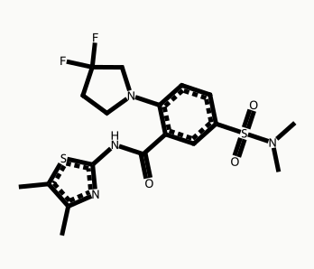 Cc1nc(NC(=O)c2cc(S(=O)(=O)N(C)C)ccc2N2CCC(F)(F)C2)sc1C